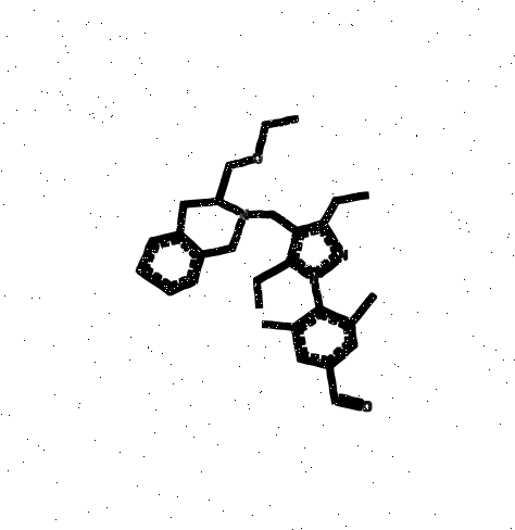 CCOCC1Cc2ccccc2CN1Cc1c(CC)nn(-c2c(C)cc(C=O)cc2C)c1CC